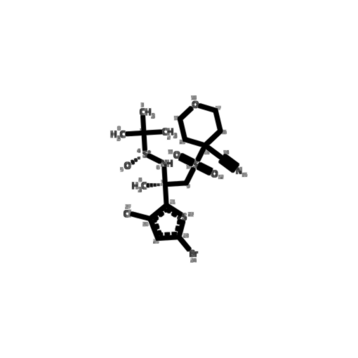 CC(C)(C)[S@@+]([O-])N[C@@](C)(CS(=O)(=O)C1(C#N)CCOCC1)c1sc(Br)cc1Cl